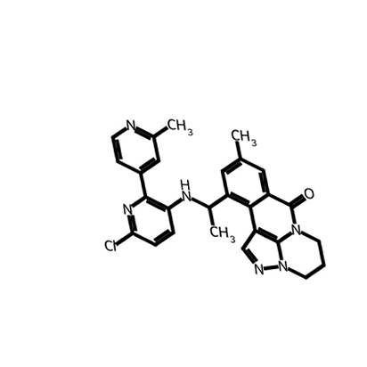 Cc1cc(C(C)Nc2ccc(Cl)nc2-c2ccnc(C)c2)c2c(c1)c(=O)n1c3c2cnn3CCC1